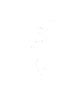 CC(C)(C)c1ccc2c(n1)sc1c3cccc(BOC(C)(C)C(C)(C)O)c3ccc21